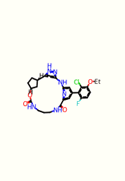 CCOc1ccc(F)c(-c2cc3nc(c2)C(=O)NCCCNC(=O)O[C@@H]2CC[C@@H](C2)c2cc(n[nH]2)N3)c1Cl